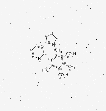 CN1CCC[C@H]1c1cccnc1.Cc1ccc(C(=O)O)c(C)c1C(=O)O